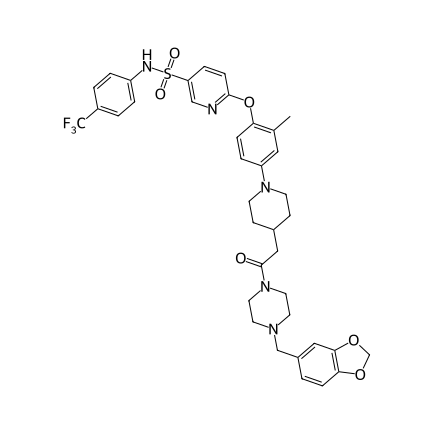 Cc1cc(N2CCC(CC(=O)N3CCN(Cc4ccc5c(c4)OCO5)CC3)CC2)ccc1Oc1ccc(S(=O)(=O)Nc2ccc(C(F)(F)F)cc2)cn1